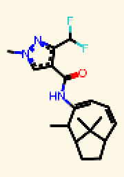 CC1/C(NC(=O)c2cn(C)nc2C(F)F)=C\C=C/C2CCC1C2(C)C